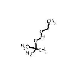 CCOPOC(C)(C)C